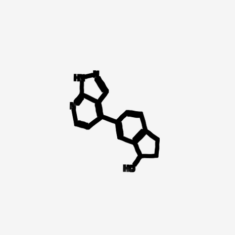 OC1CCc2ccc(-c3ccnc4[nH]ncc34)cc21